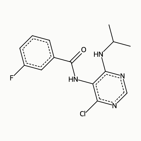 CC(C)Nc1ncnc(Cl)c1NC(=O)c1cccc(F)c1